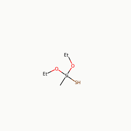 CCO[Si](C)(S)OCC